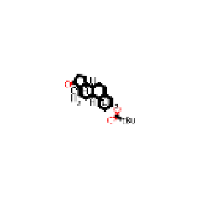 CC(C)(C)C(=O)O[C@H]1CC[C@@]2(C)C(=CC[C@@H]3[C@@H]2CC[C@]2(C)C(=O)CC[C@@H]32)C1